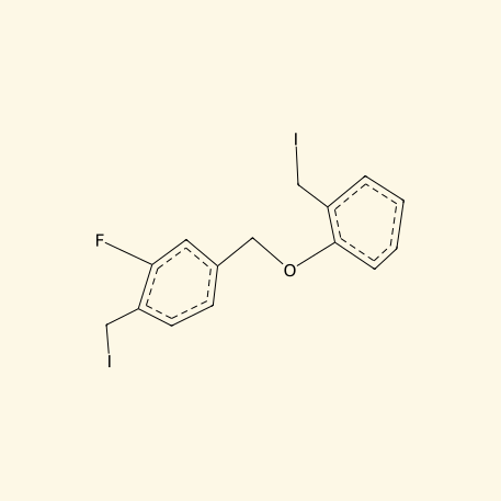 Fc1cc(COc2ccccc2CI)ccc1CI